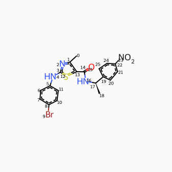 Cc1nc(Nc2ccc(Br)cc2)sc1C(=O)N[C@H](C)c1ccc([N+](=O)[O-])cc1